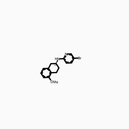 COc1cccc2c1CC[C@H](Nc1ccc(Br)cn1)C2